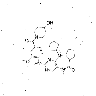 COc1cc(C(=O)N2CCC(O)CC2)ccc1Nc1ncc2c(n1)N(C1CCCC1)C1CCCC1C(=O)N2C